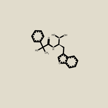 CC(S)(C(=O)N[C@H](Cc1coc2ccccc12)B(O)O)c1ccccc1